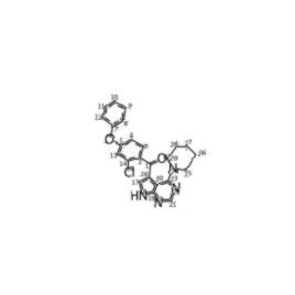 O=C(c1ccc(Oc2ccccc2)cc1Cl)c1c[nH]c2ncnc(N3CC[CH]CC3)c12